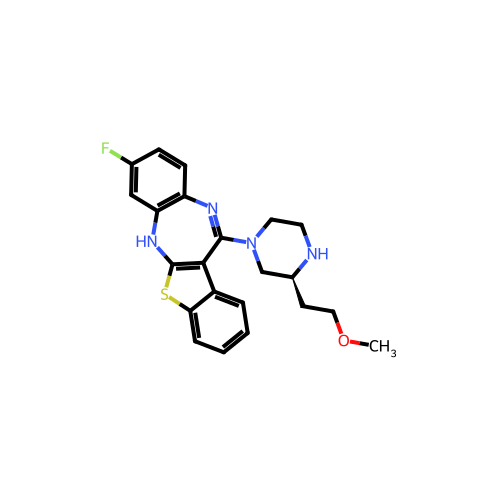 COCC[C@H]1CN(C2=Nc3ccc(F)cc3Nc3sc4ccccc4c32)CCN1